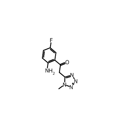 Cn1nnnc1CC(=O)c1cc(F)ccc1N